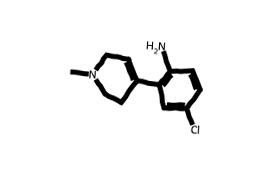 CN1CC=C(c2cc(Cl)ccc2N)CC1